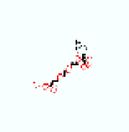 CCC(OCCOCCOCCC(=O)O)C(=O)O